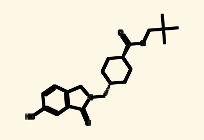 CC(C)(C)COC(=O)[C@H]1CC[C@H](CN2Cc3ccc(O)cc3C2=O)CC1